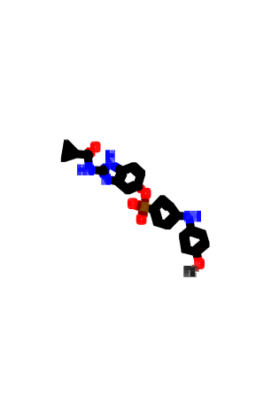 CCOc1ccc(Nc2ccc(S(=O)(=O)Oc3ccc4[nH]c(NC(=O)C5CC5)nc4c3)cc2)cc1